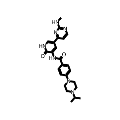 CNc1nccc(-c2c[nH]c(=O)c(NC(=O)c3ccc(N4CCN(C(C)C)CC4)cc3)c2)n1